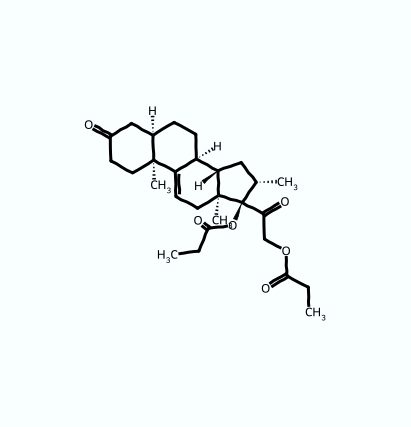 CCC(=O)OCC(=O)[C@@]1(OC(=O)CC)[C@@H](C)C[C@H]2[C@@H]3CC[C@@H]4CC(=O)CC[C@]4(C)C3=CC[C@@]21C